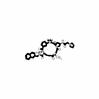 CN1CC(=O)N2C[C@H](NC(=O)CN3CCCC3)C[C@H]2CS(=O)(=O)c2cccc(c2)C(=O)N(C)[C@H](C(=O)NCc2ccc3ccccc3c2)CCC1=O